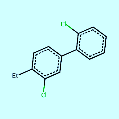 CCc1ccc(-c2ccccc2Cl)cc1Cl